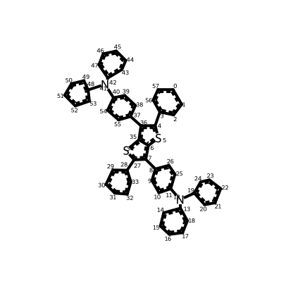 c1ccc(-c2sc3c(-c4ccc(N(c5ccccc5)c5ccccc5)cc4)c(-c4ccccc4)sc3c2-c2ccc(N(c3ccccc3)c3ccccc3)cc2)cc1